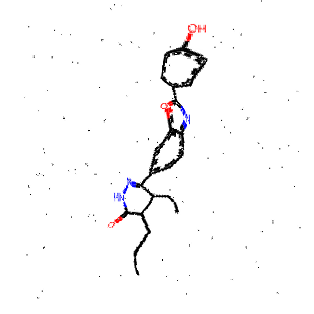 CCCC1C(=O)NN=C(c2ccc3nc(-c4ccc(O)cc4)oc3c2)C1CC